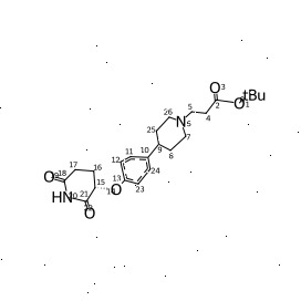 CC(C)(C)OC(=O)CCN1CCC(c2ccc(O[C@H]3CCC(=O)NC3=O)cc2)CC1